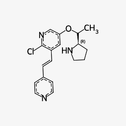 CC(Oc1cnc(Cl)c(C=Cc2ccncc2)c1)[C@H]1CCCN1